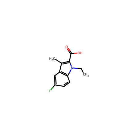 CCn1c(C(=O)O)c(C)c2cc(F)ccc21